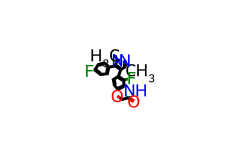 Cc1nn(C)c(-c2ccc(F)cc2)c1-c1ccc2c(c1F)NC(=O)CO2